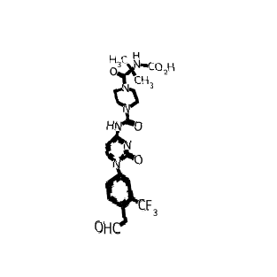 CC(C)(NC(=O)O)C(=O)N1CCN(C(=O)Nc2ccn(-c3ccc(CC=O)c(C(F)(F)F)c3)c(=O)n2)CC1